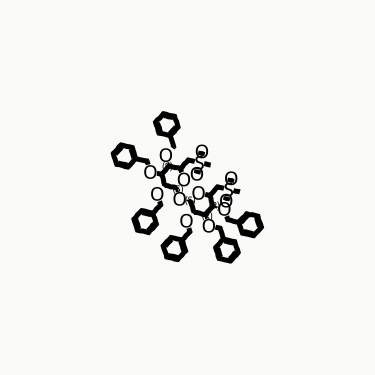 CS(=O)(=O)CC1O[C@@H](O[C@@H]2OC(CS(C)(=O)=O)[C@H](OCc3ccccc3)[C@@H](OCc3ccccc3)C2OCc2ccccc2)C(OCc2ccccc2)C(OCc2ccccc2)[C@@H]1OCc1ccccc1